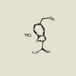 Cl.N=C(N)c1cc2cc(CO)ccc2s1